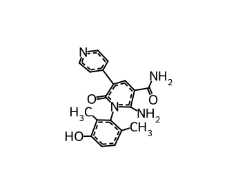 Cc1ccc(O)c(C)c1-n1c(N)c(C(N)=O)cc(-c2ccncc2)c1=O